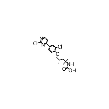 C[C@H](COc1ccc(-c2ccnc(Cl)n2)cc1Cl)CC(C)(C)NC(=O)O